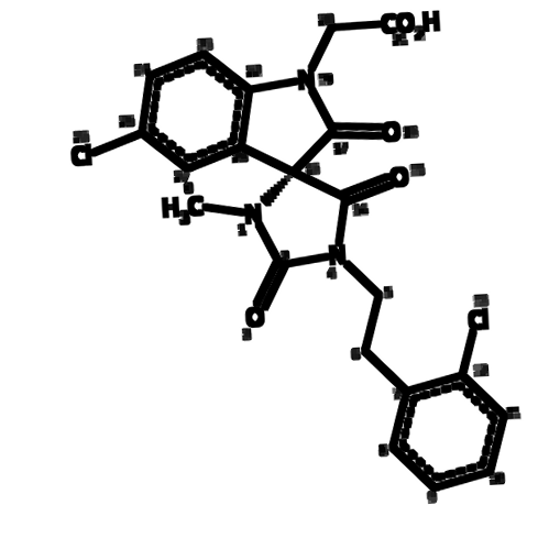 CN1C(=O)N(CCc2ccccc2Cl)C(=O)[C@@]12C(=O)N(CC(=O)O)c1ccc(Cl)cc12